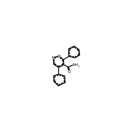 NC(=O)c1c(-c2ccccc2)cnnc1-c1ccccc1